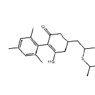 Cc1cc(C)c(C2=C(O)CC(CC(C)SC(C)C)CC2=O)c(C)c1